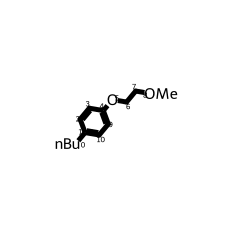 CCCCc1ccc(OCCOC)cc1